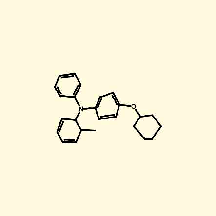 CC1C=CC=CC1N(c1ccccc1)c1ccc(OC2CCCCC2)cc1